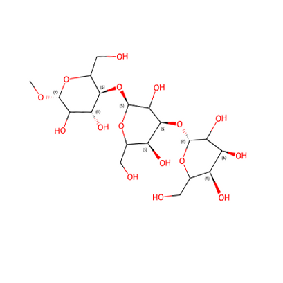 CO[C@@H]1OC(CO)[C@@H](O[C@@H]2OC(CO)[C@H](O)[C@H](O[C@H]3OC(CO)[C@H](O)[C@H](O)C3O)C2O)[C@H](O)C1O